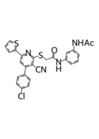 CC(=O)Nc1cccc(NC(=O)CSc2nc(-c3cccs3)cc(-c3ccc(Cl)cc3)c2C#N)c1